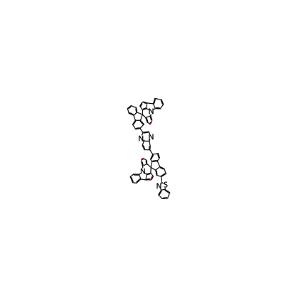 c1ccc2c(c1)-c1ccc(-c3cnc4cc(-c5ccc6c(c5)C5(c7cc(-c8nc9ccccc9s8)ccc7-6)c6ccccc6-n6c7ccccc7c7cccc5c76)ccc4n3)cc1C21c2ccccc2-n2c3ccccc3c3cccc1c32